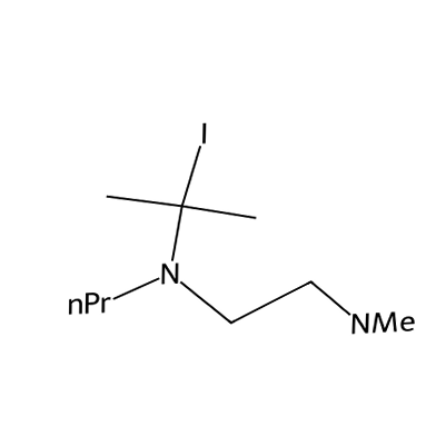 CCCN(CCNC)C(C)(C)I